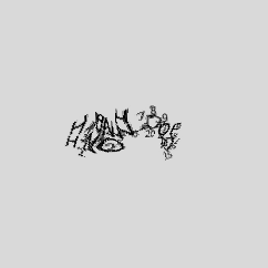 CC(NCNCc1cccc(OCc2ccccc2F)c1)C(N)=O